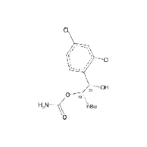 CCCC[C@H](OC(N)=O)[C@@H](O)c1ccc(Cl)cc1Cl